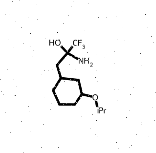 CC(C)OC1CCCC(CC(N)(O)C(F)(F)F)C1